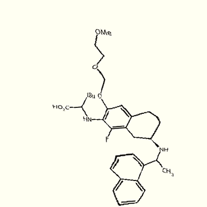 COCCOCOc1cc2c(c(F)c1NC(C(=O)O)C(C)(C)C)C[C@H](NC(C)c1cccc3ccccc13)CC2